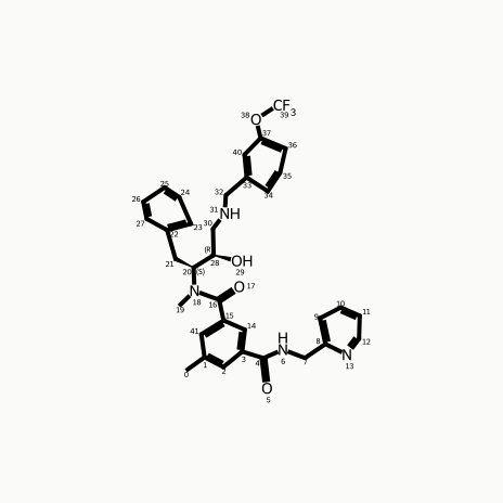 Cc1cc(C(=O)NCc2ccccn2)cc(C(=O)N(C)[C@@H](Cc2ccccc2)[C@H](O)CNCc2cccc(OC(F)(F)F)c2)c1